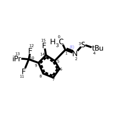 C/C(=N\SC(C)(C)C)c1cccc(C(F)(F)C(C)C)c1F